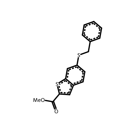 COC(=O)c1cc2ccc(SCc3ccccc3)cc2s1